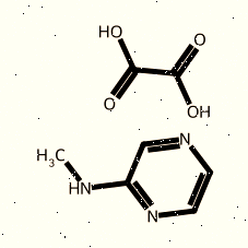 CNc1cnccn1.O=C(O)C(=O)O